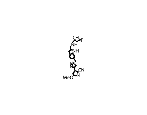 C=C(CCF)CNCc1cc2ccc(Cn3cc(-c4cc(OC)cnc4C#N)nn3)cc2[nH]1